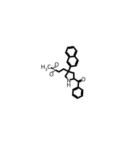 CS(=O)(=O)CCC1(c2ccc3ccccc3c2)CNC(C(=O)c2ccccc2)C1